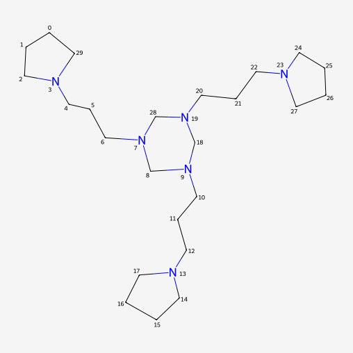 C1CCN(CCCN2CN(CCCN3CCCC3)CN(CCCN3CCCC3)C2)C1